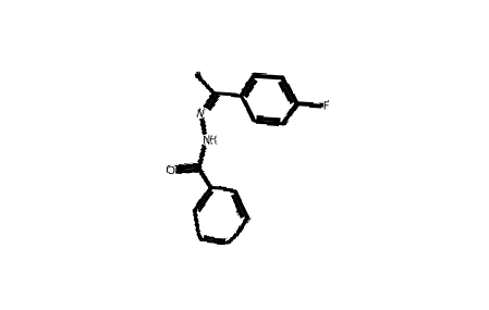 CC(=NNC(=O)c1ccccc1)c1ccc(F)cc1